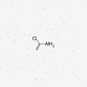 C=[C]([AlH2])Cl